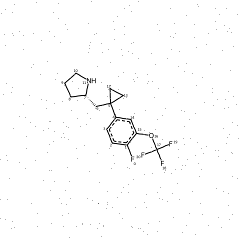 Fc1ccc(C2([CH][C@@H]3CCCN3)CC2)cc1OC(F)(F)F